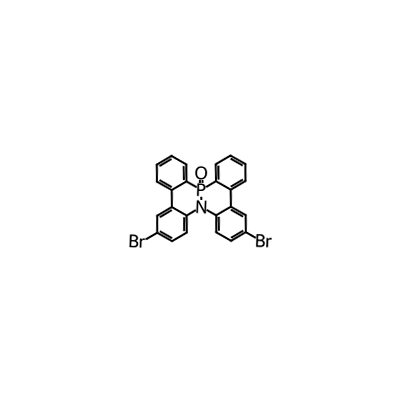 O=P12c3ccccc3-c3cc(Br)ccc3N1c1ccc(Br)cc1-c1ccccc12